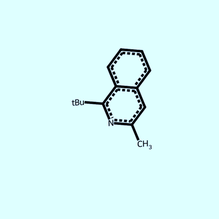 Cc1cc2ccccc2c(C(C)(C)C)n1